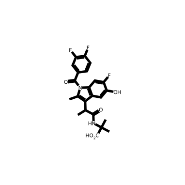 Cc1c(C(C)C(=O)NC(C)(C)C(=O)O)c2cc(O)c(F)cc2n1C(=O)c1ccc(F)c(F)c1